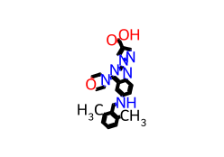 Cc1cccc(C)c1CNc1ccc2nc(-n3cc(C(=O)O)cn3)nc(N3CCOCC3)c2c1